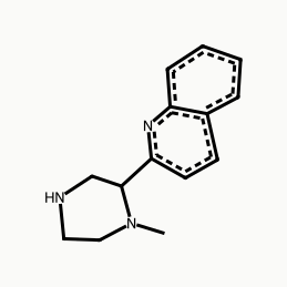 CN1CCNCC1c1ccc2ccccc2n1